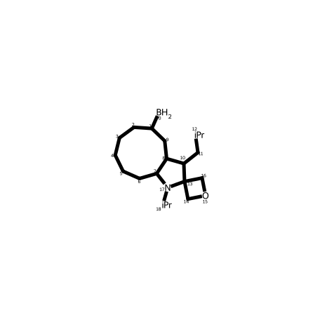 BC1CCCCCC2C(C1)C(CC(C)C)C1(COC1)N2C(C)C